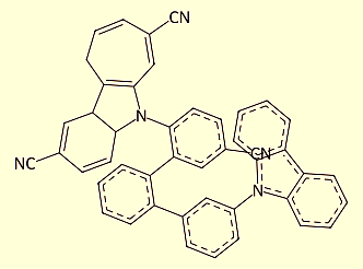 N#CC1=CC2=C(CC=C1)C1C=C(C#N)C=CC1N2c1ccc(C#N)cc1-c1ccccc1-c1cccc(-n2c3ccccc3c3ccccc32)c1